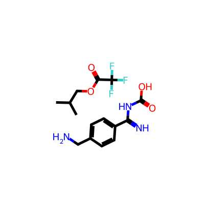 CC(C)COC(=O)C(F)(F)F.N=C(NC(=O)O)c1ccc(CN)cc1